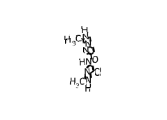 CC1=CN2C=C(NC(=O)c3ccc(N4CCNC(C)C4)nc3)C=C(Cl)C2=CN1